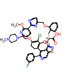 COc1ncccc1-c1nccc(COc2ccccc2C[C@@H](Oc2nsc3cnc(-c4cccc(F)c4)c(C4=C(C)C(Cl)=C(OCCN5CCN(C)CC5)CC4)c23)C(=O)O)n1